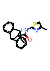 Cc1csc(NC(=O)C2(C)CC3c4ccccc4C2c2ccccc23)n1